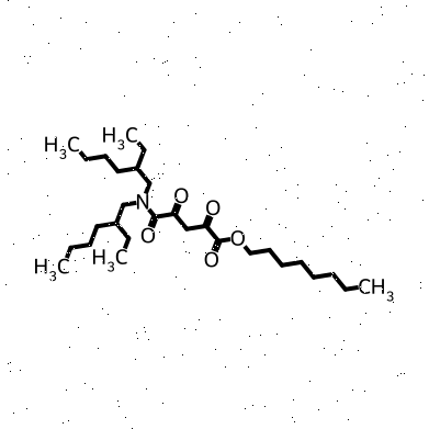 CCCCCCCCOC(=O)C(=O)CC(=O)C(=O)N(CC(CC)CCCC)CC(CC)CCCC